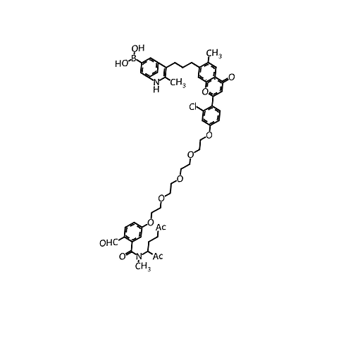 CC(=O)CCC(C(C)=O)N(C)C(=O)c1cc(OCCOCCOCCOCCOc2ccc(-c3cc(=O)c4cc(C)c(CCCC5=C(C)Nc6cc(B(O)O)cc5c6)cc4o3)c(Cl)c2)ccc1C=O